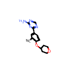 N#Cc1cc(-c2ncnc(N)n2)ccc1OC1CCOCC1